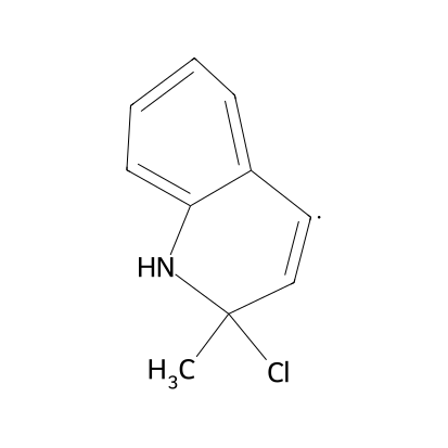 CC1(Cl)C=[C]c2ccccc2N1